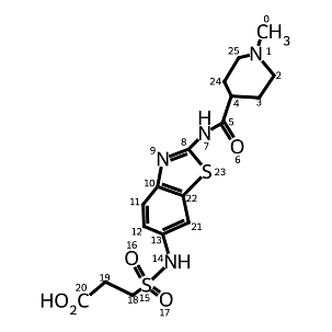 CN1CCC(C(=O)Nc2nc3ccc(NS(=O)(=O)CCC(=O)O)cc3s2)CC1